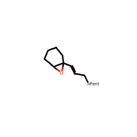 CCCCCCC=CC12CCCCC1O2